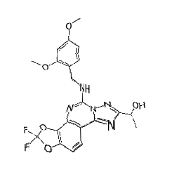 COc1ccc(CNc2nc3c4c(ccc3c3nc(C(C)O)nn23)OC(F)(F)O4)c(OC)c1